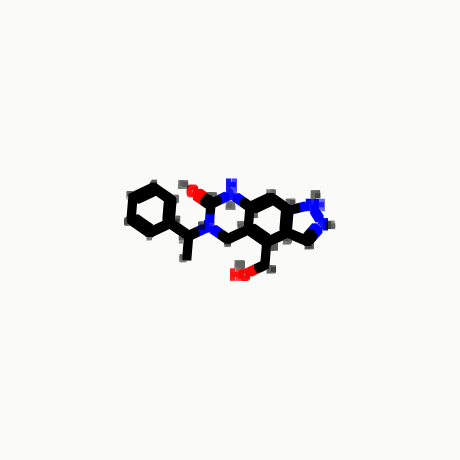 CC(c1ccccc1)N1Cc2c(cc3[nH]ncc3c2CO)NC1=O